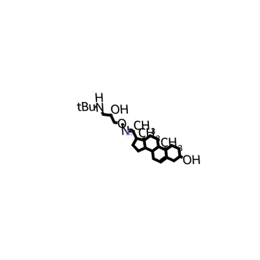 C/C(=N\OCC(O)CNC(C)(C)C)C1CCC2C3CC=C4CC(O)CCC4(C)C3CCC12C